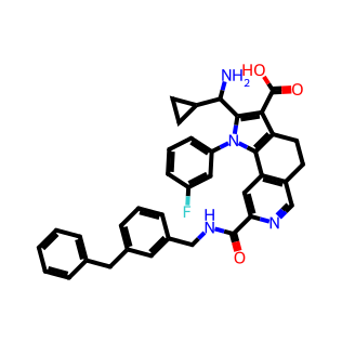 NC(c1c(C(=O)O)c2c(n1-c1cccc(F)c1)-c1cc(C(=O)NCc3cccc(Cc4ccccc4)c3)ncc1CC2)C1CC1